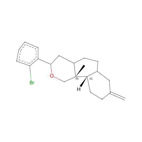 C=C1CC[C@H]2C(CCC3CC(c4ccccc4Br)OC[C@]32C)C1